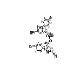 N#Cc1cc(NO[PH](=O)ONc2cc(C#N)nn2-c2ccc(Br)cc2)n(-c2ccc(Br)cc2)n1